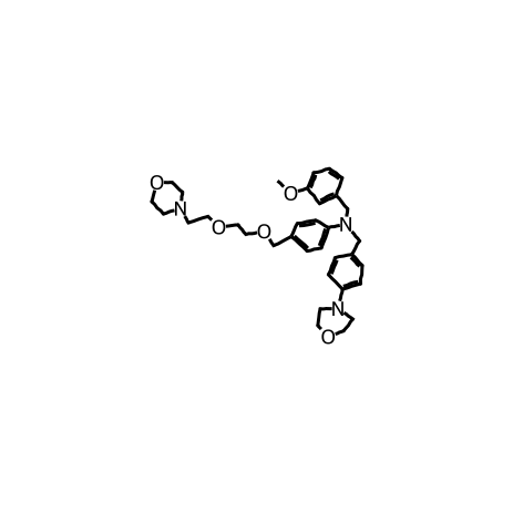 COc1cccc(CN(Cc2ccc(N3CCOCC3)cc2)c2ccc(COCCOCCN3CCOCC3)cc2)c1